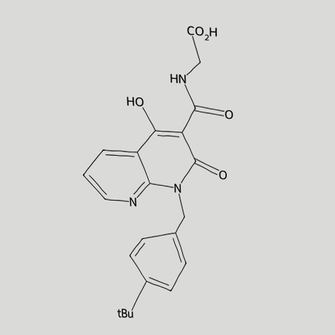 CC(C)(C)c1ccc(Cn2c(=O)c(C(=O)NCC(=O)O)c(O)c3cccnc32)cc1